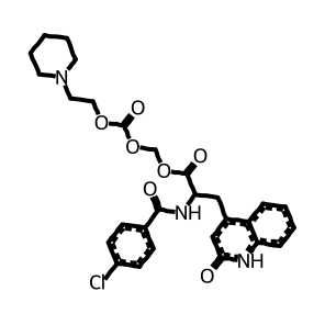 O=C(OCCN1CCCCC1)OCOC(=O)C(Cc1cc(=O)[nH]c2ccccc12)NC(=O)c1ccc(Cl)cc1